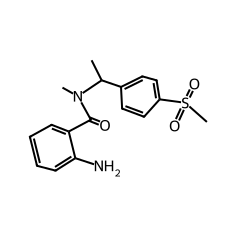 CC(c1ccc(S(C)(=O)=O)cc1)N(C)C(=O)c1ccccc1N